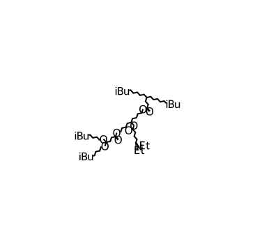 CCC(C)CCCCCC(CCCCCC(C)CC)CCC(=O)OCCCCC(CCCCOC(=O)CCC(OCCCCC(C)CC)OCCCCC(C)CC)OC(=O)CCCCN(CC)CC